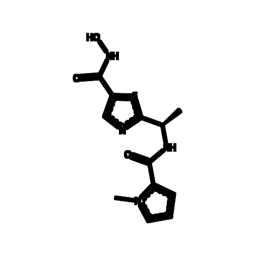 C[C@@H](NC(=O)c1cccn1C)c1ncc(C(=O)NO)s1